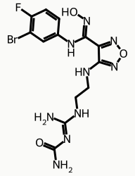 NC(=O)/N=C(\N)NCCNc1nonc1/C(=N/O)Nc1ccc(F)c(Br)c1